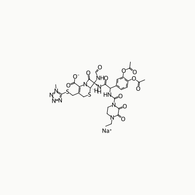 CCN1CCN(C(=O)NC(C(=O)N[C@]2(NC=O)C(=O)N3C(C(=O)[O-])=C(CSc4nnnn4C)CS[C@@H]32)c2ccc(OC(C)=O)c(OC(C)=O)c2)C(=O)C1=O.[Na+]